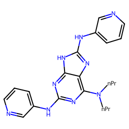 CCCN(CCC)c1nc(Nc2cccnc2)nc2[nH]c(Nc3cccnc3)nc12